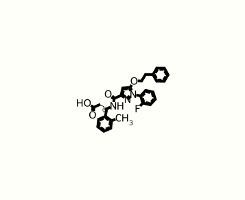 Cc1ccccc1[C@H](CC(=O)O)NC(=O)c1cc(OCCc2ccccc2)n(-c2ccccc2F)n1